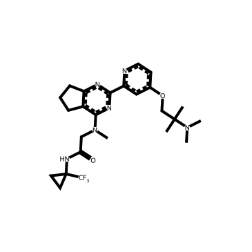 CN(CC(=O)NC1(C(F)(F)F)CC1)c1nc(-c2cc(OCC(C)(C)N(C)C)ccn2)nc2c1CCC2